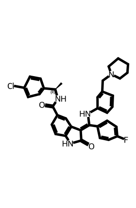 C[C@@H](NC(=O)c1ccc2c(c1)C(=C(Nc1cccc(CN3CCCCC3)c1)c1ccc(F)cc1)C(=O)N2)c1ccc(Cl)cc1